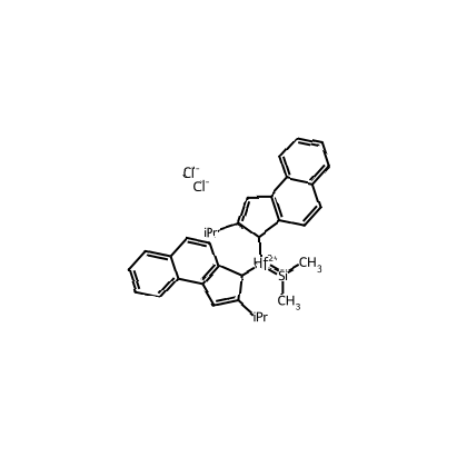 CC(C)C1=Cc2c(ccc3ccccc23)[CH]1[Hf+2]([CH]1C(C(C)C)=Cc2c1ccc1ccccc21)=[Si](C)C.[Cl-].[Cl-]